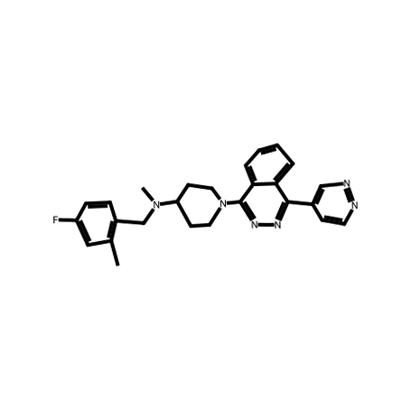 Cc1cc(F)ccc1CN(C)C1CCN(c2nnc(-c3ccnnc3)c3ccccc23)CC1